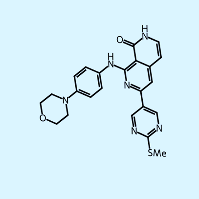 CSc1ncc(-c2cc3cc[nH]c(=O)c3c(Nc3ccc(N4CCOCC4)cc3)n2)cn1